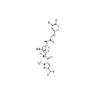 Cn1nc(C(F)F)cc1C(=O)NC12CCC(NC(=O)COc3ccc(Cl)c(F)c3)(CC1)C[C@@H]2O